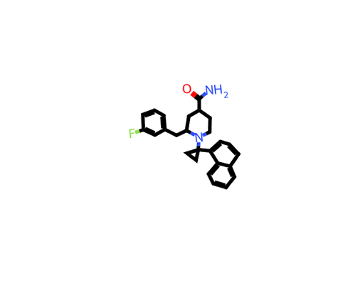 NC(=O)C1CCN(C2(c3cccc4ccccc34)CC2)C(Cc2cccc(F)c2)C1